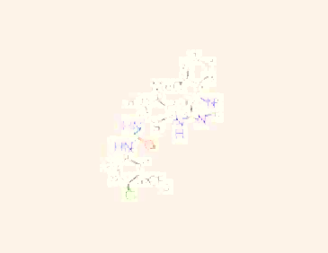 COc1ccccc1-c1cc(Nc2ccc(C)c(NC(=O)Nc3ccc(Cl)c(C(F)(F)F)c3)c2)ncn1